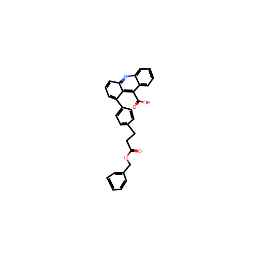 O=C(CCc1ccc(-c2cccc3nc4ccccc4c(C(=O)O)c23)cc1)OCc1ccccc1